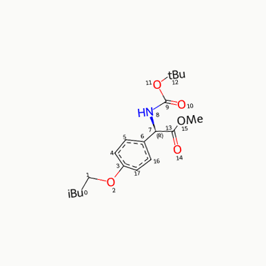 CCC(C)COc1ccc([C@@H](NC(=O)OC(C)(C)C)C(=O)OC)cc1